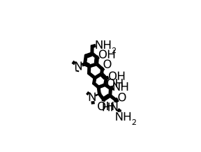 CN(C)c1cc(CN)c(O)c2c1CC1CC3[C@H](N(C)C)C(O)=C(C(=O)NCN)C(=N)[C@@]3(O)C(O)=C1C2=O